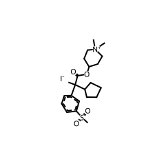 CC(C(=O)OC1CC[N+](C)(C)CC1)(c1cccc(S(C)(=O)=O)c1)C1CCCC1.[I-]